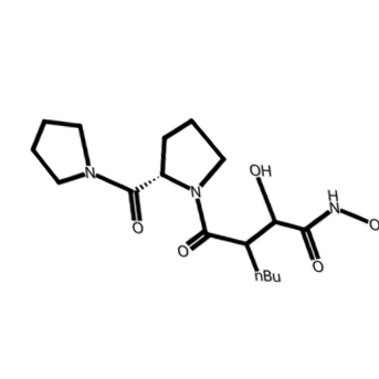 CCCCC(C(=O)N1CCC[C@H]1C(=O)N1CCCC1)C(O)C(=O)NO